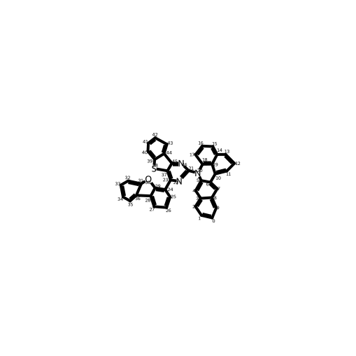 c1ccc2cc3c(cc2c1)-c1cccc2cccc(c12)N3c1nc(-c2cccc3c2oc2ccccc23)c2sc3ccccc3c2n1